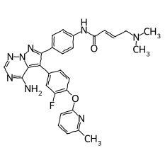 Cc1cccc(Oc2ccc(-c3c(-c4ccc(NC(=O)/C=C/CN(C)C)cc4)nn4ncnc(N)c34)cc2F)n1